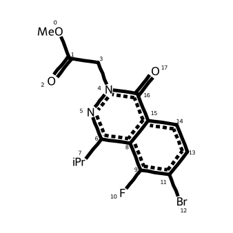 COC(=O)Cn1nc(C(C)C)c2c(F)c(Br)ccc2c1=O